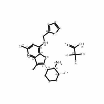 Cc1c([C@H]2CCC[C@@H](F)[C@@H]2N)sc2c(NCc3cccs3)cc(Cl)nc12.O=C(O)C(F)(F)F